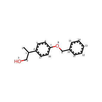 CC(CO)c1ccc(OCc2ccccc2)cc1